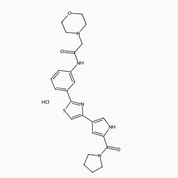 Cl.O=C(CN1CCOCC1)Nc1cccc(-c2nc(-c3c[nH]c(C(=O)N4CCCC4)c3)cs2)c1